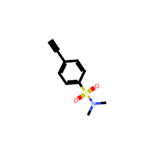 C#Cc1ccc(S(=O)(=O)N(C)C)cc1